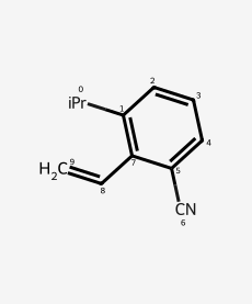 [CH2]C(C)c1cccc(C#N)c1C=C